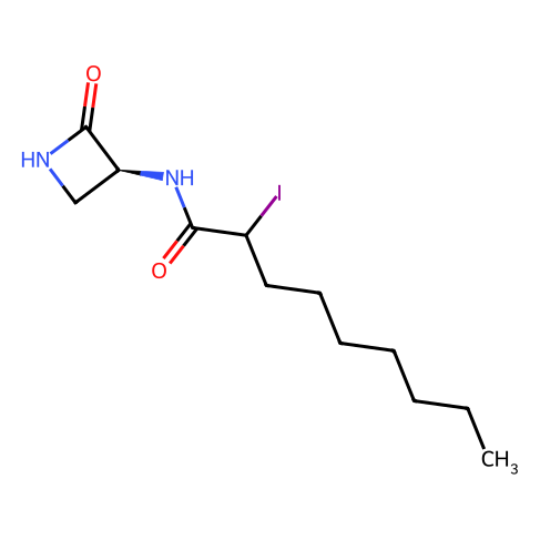 CCCCCCCC(I)C(=O)N[C@H]1CNC1=O